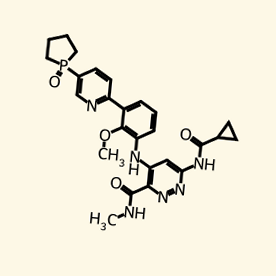 CNC(=O)c1nnc(NC(=O)C2CC2)cc1Nc1cccc(-c2ccc(P3(=O)CCCC3)cn2)c1OC